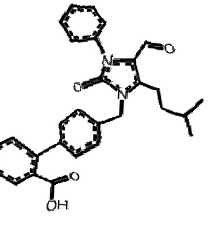 CC(C)CCc1c(C=O)n(-c2ccccc2)c(=O)n1Cc1ccc(-c2ccccc2C(=O)O)cc1